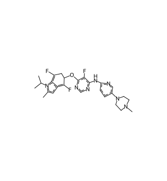 Cc1cc2c(n1C(C)C)=C(F)CC(Oc1ncnc(Nc3ccc(N4CCN(C)CC4)cn3)c1F)C=2F